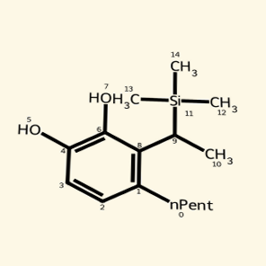 CCCCCc1ccc(O)c(O)c1C(C)[Si](C)(C)C